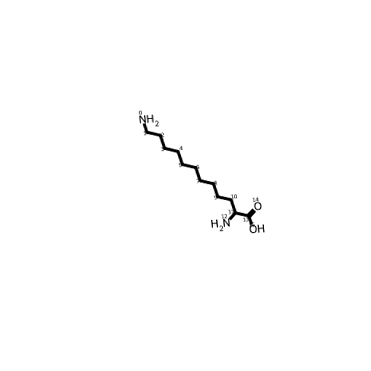 NCCCCCCCCCCC(N)C(=O)O